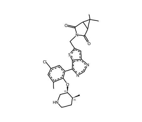 Cc1cc(Cl)cc(-c2ncnc3cc(CN4C(=O)C5C(C4=O)C5(C)C)sc23)c1O[C@@H]1CNCC[C@@H]1C